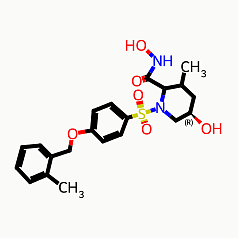 Cc1ccccc1COc1ccc(S(=O)(=O)N2C[C@H](O)CC(C)C2C(=O)NO)cc1